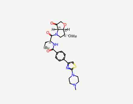 CO[C@@H]1CN(C(=O)[C@H](CC(C)(C)C)NC(=O)c2ccc(-c3csc(N4CCN(C)CC4)n3)cc2)[C@@H]2C(=O)CO[C@@H]21